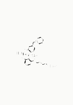 CCCCCCCCCCCCCCOc1cccc(OP(=O)(O)Oc2cccc(CN3C=CCC=C3)c2)c1OC